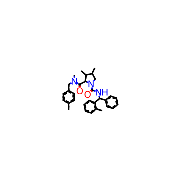 Cc1ccc(CN(C)C(=O)C2C(C)C(C)CN2C(=O)NC(c2ccccc2)c2ccccc2C)cc1